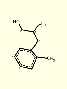 Cc1ccccc1CC(C)CO